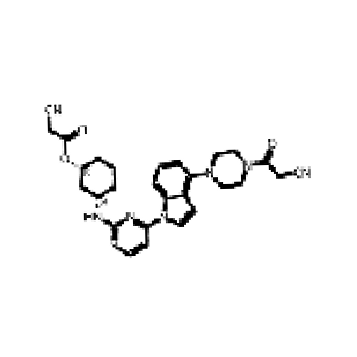 N#CCC(=O)O[C@@H]1CCC[C@H](Nc2nccc(-n3ccc4c(N5CCN(C(=O)CC#N)CC5)cccc43)n2)C1